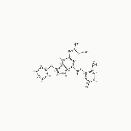 CCC(CO)Nc1nc(NCc2cc(F)ccc2O)c2ncn(Cc3ccccc3)c2n1